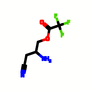 N#CCC(N)COC(=O)C(F)(F)F